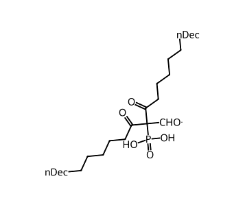 CCCCCCCCCCCCCCCC(=O)C([C]=O)(C(=O)CCCCCCCCCCCCCCC)P(=O)(O)O